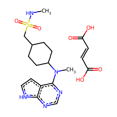 CNS(=O)(=O)CC1CCC(N(C)c2ncnc3[nH]ccc23)CC1.O=C(O)/C=C/C(=O)O